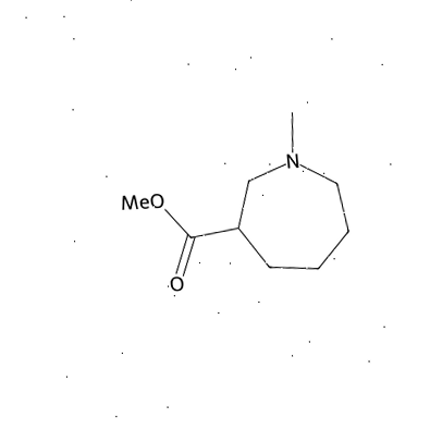 COC(=O)C1CCCCN(C)C1